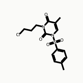 Cc1ccc(S(=O)(=O)n2cc(C)c(=O)n(CCCCl)c2=O)cc1